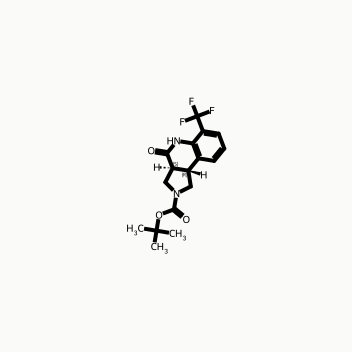 CC(C)(C)OC(=O)N1C[C@H]2C(=O)Nc3c(cccc3C(F)(F)F)[C@@H]2C1